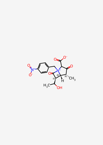 CC(O)[C@H]1C(=O)[N+]2(Cc3ccc([N+](=O)[O-])cc3)C(C(=O)[O-])C(=O)[C@H](C)[C@H]12